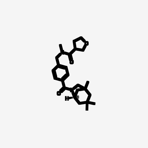 CN(Cc1ccc(C(=O)N2CC3(C)C[C@H]2CC(C)(C)C3)cc1)C(=O)C1CCOC1